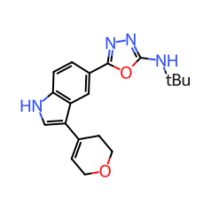 CC(C)(C)Nc1nnc(-c2ccc3[nH]cc(C4=CCOCC4)c3c2)o1